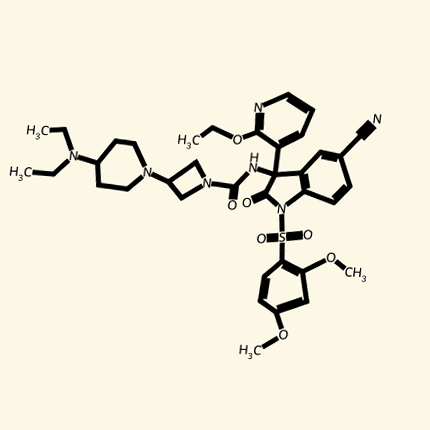 CCOc1ncccc1C1(NC(=O)N2CC(N3CCC(N(CC)CC)CC3)C2)C(=O)N(S(=O)(=O)c2ccc(OC)cc2OC)c2ccc(C#N)cc21